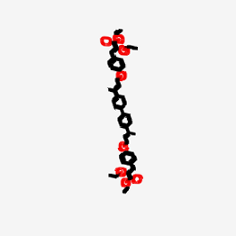 CCOC(=O)C(Cc1ccc(OC/C=C(\C)c2ccc(-c3ccc(/C(C)=C/COc4ccc(CC(OCC)C(=O)OCC)cc4)cc3)cc2)cc1)OCC